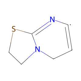 [C]1=CCN2CCSC2=N1